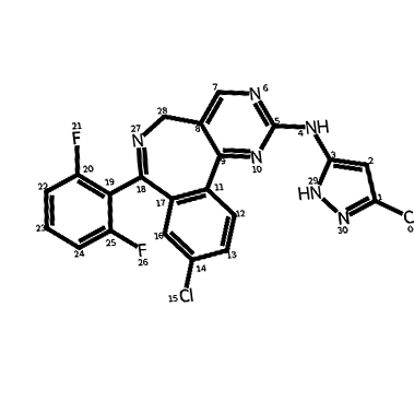 Cc1cc(Nc2ncc3c(n2)-c2ccc(Cl)cc2C(c2c(F)cccc2F)=NC3)[nH]n1